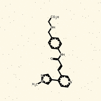 Cn1cc(-c2ccncc2/C=C/C(=O)Nc2ccc(CNCC(=O)O)cc2)cn1